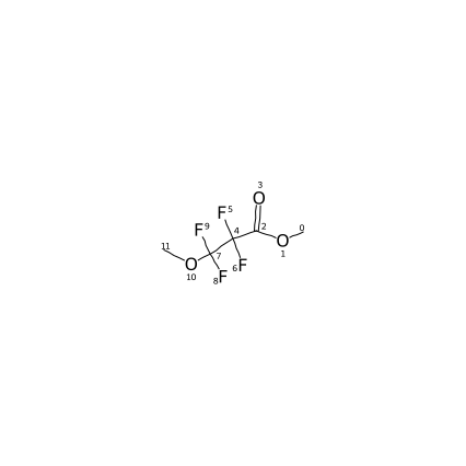 COC(=O)C(F)(F)C(F)(F)OC